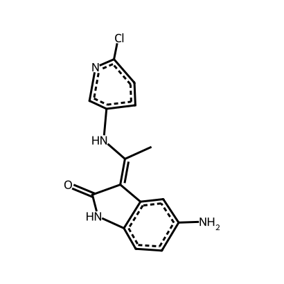 C/C(Nc1ccc(Cl)nc1)=C1/C(=O)Nc2ccc(N)cc21